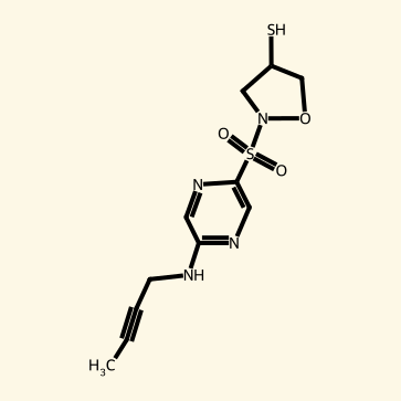 CC#CCNc1cnc(S(=O)(=O)N2CC(S)CO2)cn1